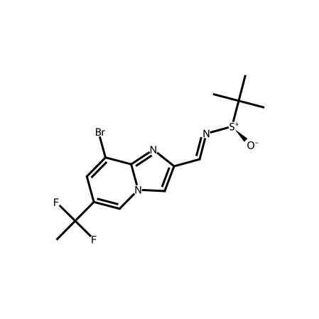 CC(F)(F)c1cc(Br)c2nc(/C=N/[S@+]([O-])C(C)(C)C)cn2c1